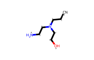 N#CCCN(CCN)CCO